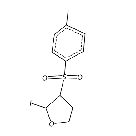 Cc1ccc(S(=O)(=O)C2CCOC2I)cc1